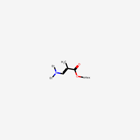 CCCCCCOC(=O)C(C)=CN(CC)CC